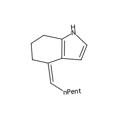 CCCCC/C=C1/CCCc2[nH]ccc21